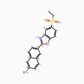 CCS(=O)(=O)c1ccc2oc(-c3ccc4cc(Br)ccc4c3)nc2c1